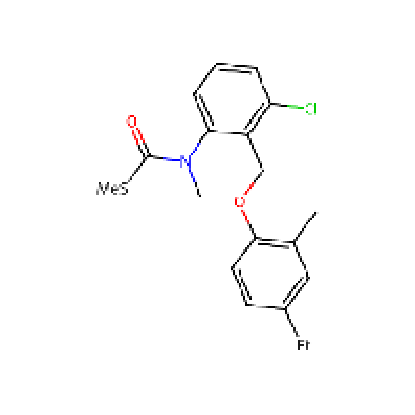 CCc1ccc(OCc2c(Cl)cccc2N(C)C(=O)SC)c(C)c1